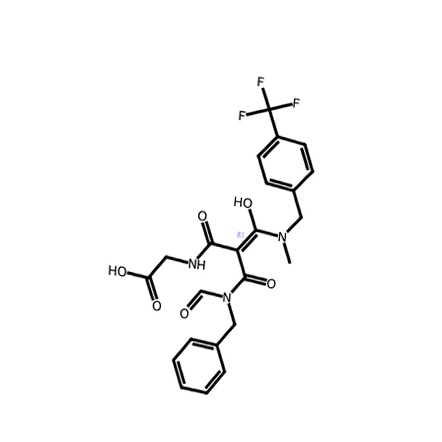 CN(Cc1ccc(C(F)(F)F)cc1)/C(O)=C(/C(=O)NCC(=O)O)C(=O)N(C=O)Cc1ccccc1